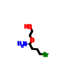 N[C@@H](CCCBr)OCCO